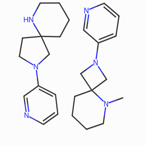 CN1CCCCC12CN(c1cccnc1)C2.c1cncc(N2CCC3(CCCCN3)C2)c1